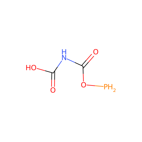 O=C(O)NC(=O)OP